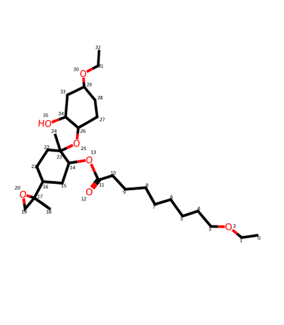 CCOCCCCCCCCC(=O)OC1CC(C2(C)CO2)CCC1(C)OC1CCC(OCC)CC1O